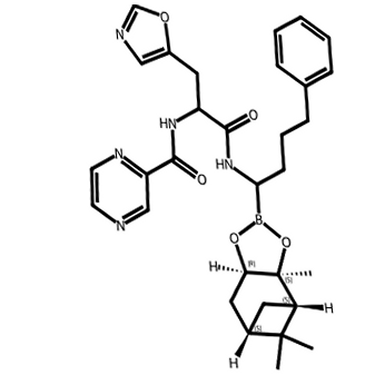 CC1(C)[C@@H]2C[C@H]3OB(C(CCCc4ccccc4)NC(=O)C(Cc4cnco4)NC(=O)c4cnccn4)O[C@@]3(C)[C@H]1C2